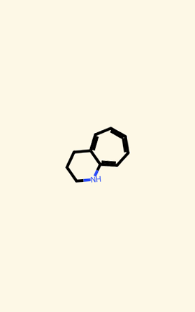 C1=CC=C2CCCNC2=CC=1